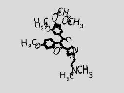 COc1ccc2c(C(=O)c3cc(OC)c(OC)c(OC)c3)c(-c3cnn(CCN(C)C)c3)oc2c1